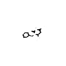 CCCn1c(=O)cc(NN)n(Cc2ccccc2)c1=O